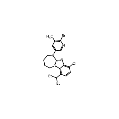 CCC(CC)c1ccc(Cl)c2nc3n(c12)CCCCN3c1cnc(Br)c(C)c1